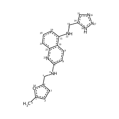 Cc1ccc(CNc2ccc3c(NCc4cnn[nH]4)cccc3n2)o1